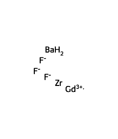 [BaH2].[F-].[F-].[F-].[Gd+3].[Zr]